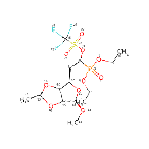 CCOP(=O)(OCC)C(C[C@H]1O[C@@H](OC)C2OC(C)OC21)OS(=O)(=O)C(F)(F)F